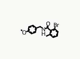 COc1ccc(CNC(=O)c2c(C)cccc2Br)cc1